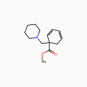 CC(C)(C)OC(=O)C1(CN2CCCCC2)C=CC=CC1